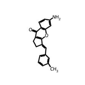 Cc1cccc(/C=C2\CCc3c2oc2cc(N)ccc2c3=O)c1